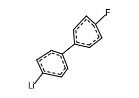 [Li][c]1ccc(-c2ccc(F)cc2)cc1